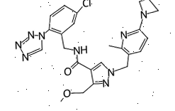 COCc1nn(Cc2ccc(N3CC4(CC4)C3)nc2C)cc1C(=O)NCc1cc(Cl)ccc1-n1cnnn1